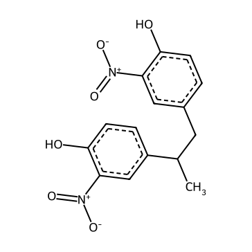 CC(Cc1ccc(O)c([N+](=O)[O-])c1)c1ccc(O)c([N+](=O)[O-])c1